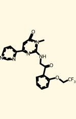 Cn1c(NCC(=O)c2ccccc2OCC(F)(F)F)nc(-c2ccncn2)cc1=O